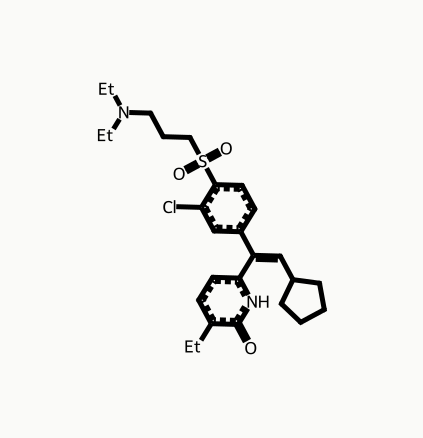 CCc1ccc(/C(=C\C2CCCC2)c2ccc(S(=O)(=O)CCCN(CC)CC)c(Cl)c2)[nH]c1=O